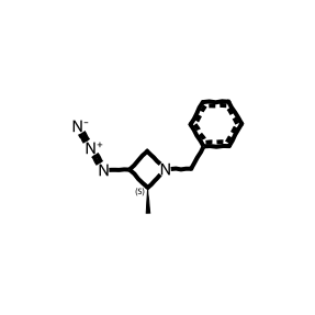 C[C@H]1C(N=[N+]=[N-])CN1Cc1ccccc1